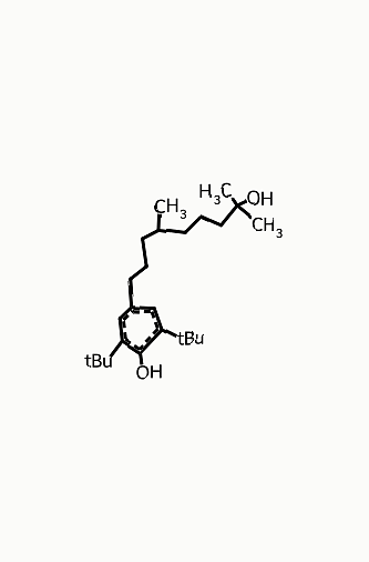 CC(CCCc1cc(C(C)(C)C)c(O)c(C(C)(C)C)c1)CCCC(C)(C)O